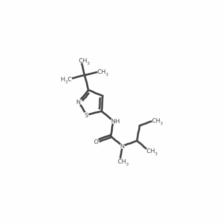 CCC(C)N(C)C(=O)Nc1cc(C(C)(C)C)ns1